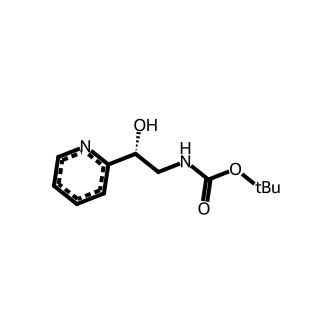 CC(C)(C)OC(=O)NC[C@@H](O)c1ccccn1